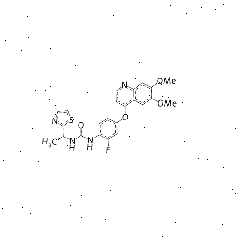 COc1cc2nccc(Oc3ccc(NC(=O)N[C@@H](C)c4nccs4)c(F)c3)c2cc1OC